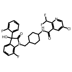 O=C(NC1CCC(CN2C(=O)C(O)(c3ccccc3F)c3cccc(F)c32)CC1)c1cc(Cl)cnc1C(F)F